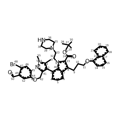 Cc1c(-c2cccc3c(CCCOc4cccc5ccccc45)c(C(=O)OC(C)(C)C)n(CCN4CCNCC4)c23)c(COc2ccc(Br)c(C=O)c2)nn1C